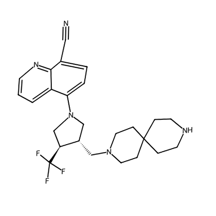 N#Cc1ccc(N2C[C@H](CN3CCC4(CCNCC4)CC3)[C@@H](C(F)(F)F)C2)c2cccnc12